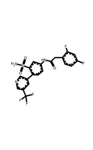 NS(=O)(=O)c1cc(NC(=O)Cc2ccc(F)cc2F)ccc1-c1cncc(C(F)(F)F)c1